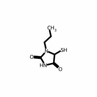 CCCN1C(=O)NC(=O)C1S